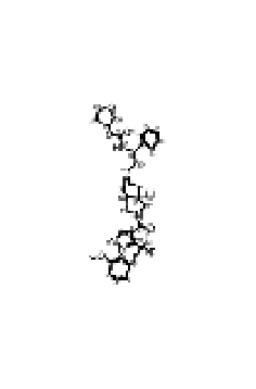 COc1ccccc1-n1ncc(C(=O)N2CC3CN(CCC(NC(=O)OC4CCOC4)c4ccccc4)C[C@H]3C2)c1C(F)(F)F